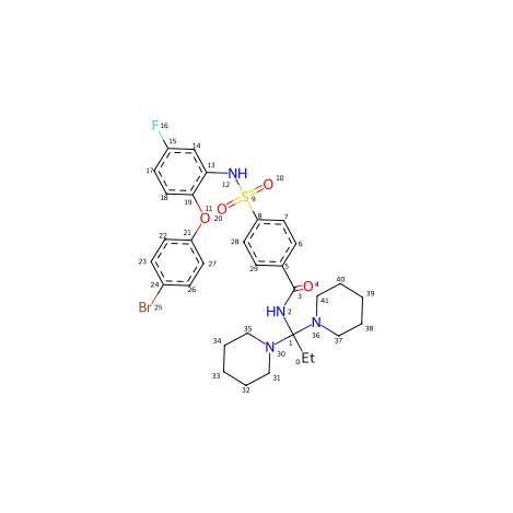 CCC(NC(=O)c1ccc(S(=O)(=O)Nc2cc(F)ccc2Oc2ccc(Br)cc2)cc1)(N1CCCCC1)N1CCCCC1